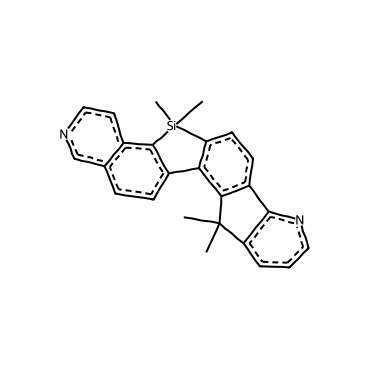 CC1(C)c2cccnc2-c2ccc3c(c21)-c1ccc2cnccc2c1[Si]3(C)C